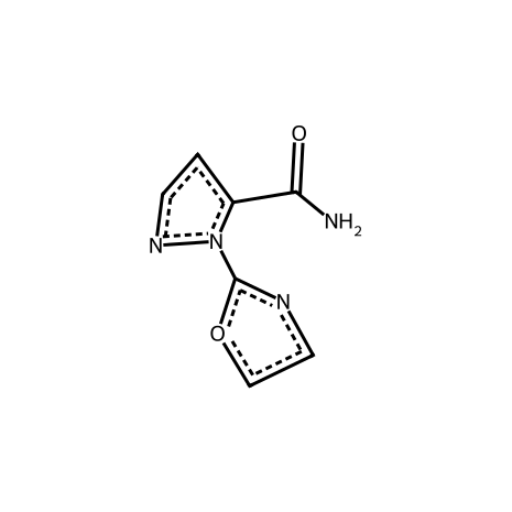 NC(=O)c1ccnn1-c1ncco1